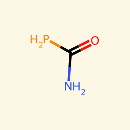 NC(=O)P